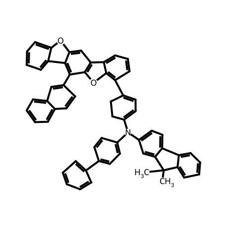 CC1(C)c2ccccc2-c2ccc(N(C3=CC=C(c4cccc5c4oc4c(-c6ccc7ccccc7c6)c6c(cc45)oc4ccccc46)CC3)c3ccc(-c4ccccc4)cc3)cc21